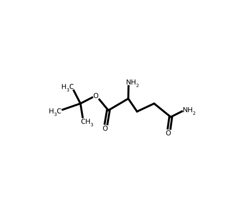 CC(C)(C)OC(=O)C(N)CCC(N)=O